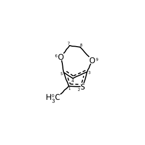 Cc1sc2cc1OCCO2